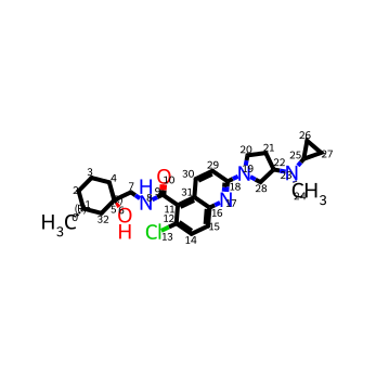 C[C@@H]1CCC[C@](O)(CNC(=O)c2c(Cl)ccc3nc(N4CCC(N(C)C5CC5)C4)ccc23)C1